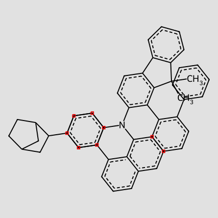 CC1(C)c2ccccc2-c2ccc(N(c3ccc(C4CC5CCC4C5)cc3)c3cccc4cccc(C5CCCCC5)c34)c(-c3ccccc3-c3ccccc3)c21